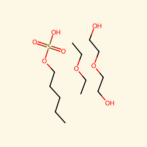 CCCCCOS(=O)(=O)O.CCOCC.OCCOCCO